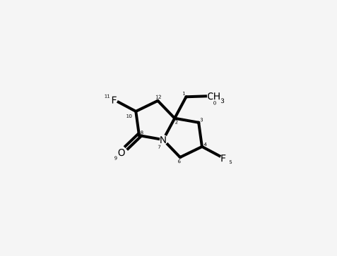 CCC12CC(F)CN1C(=O)C(F)C2